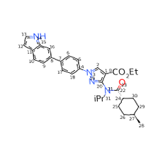 CCOC(=O)c1cn(-c2ccc(-c3ccc4cc[nH]c4c3)cc2)nc1N(C(=O)[C@H]1CC[C@H](C)CC1)C(C)C